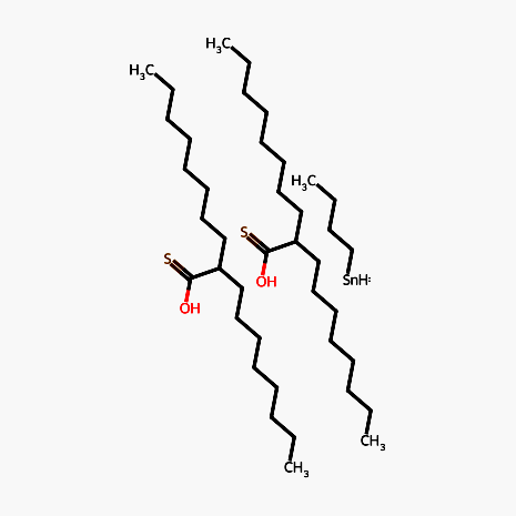 CCCCCCCCC(CCCCCCCC)C(O)=S.CCCCCCCCC(CCCCCCCC)C(O)=S.CCC[CH2][SnH]